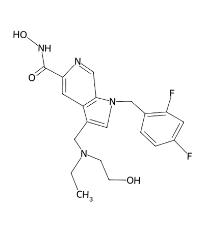 CCN(CCO)Cc1cn(Cc2ccc(F)cc2F)c2cnc(C(=O)NO)cc12